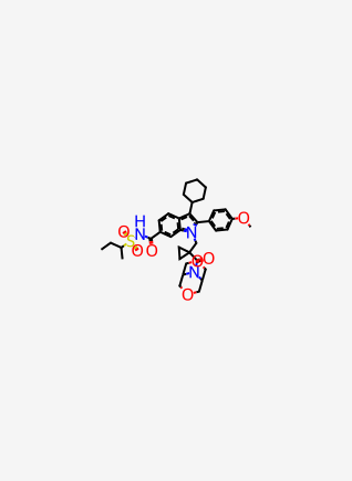 CCC(C)S(=O)(=O)NC(=O)c1ccc2c(C3CCCCC3)c(-c3ccc(OC)cc3)n(CC3(C(=O)N4C5COCC4COC5)CC3)c2c1